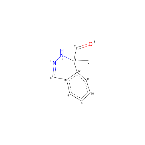 CC1(C=O)NN=Cc2ccccc21